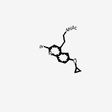 CC(=O)NCCc1cc(Br)nc2ccc(OC3CC3)cc12